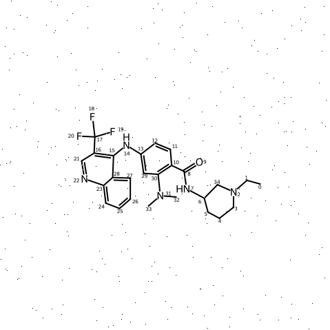 CCN1CCCC(NC(=O)c2ccc(Nc3c(C(F)(F)F)cnc4ccccc34)cc2N(C)C)C1